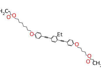 C=CC(=O)OCCCCCCCCOc1ccc(C#Cc2ccc(C#Cc3ccc(OCCCCCOC(=O)C=C)cc3)c(CC)c2)cc1